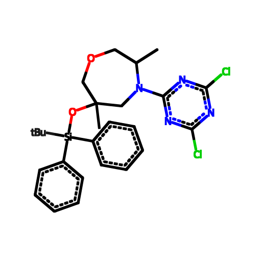 CC1COCC(C)(O[Si](c2ccccc2)(c2ccccc2)C(C)(C)C)CN1c1nc(Cl)nc(Cl)n1